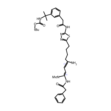 CN/C(=C\C=C(/N)CCCCc1nnc(NC(=O)Cc2cccc(C(C)(C)NC(=O)OC(C)(C)C)c2)s1)NC(=O)Cc1ccccc1